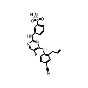 C=CCc1cc(C#N)ccc1Nc1nc(Nc2cccc(S(N)(=O)=O)c2)ncc1F